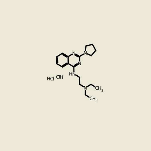 CCN(CC)CCNc1nc(N2CCCC2)nc2ccccc12.Cl.Cl